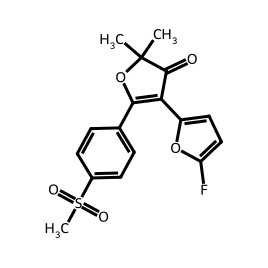 CC1(C)OC(c2ccc(S(C)(=O)=O)cc2)=C(c2ccc(F)o2)C1=O